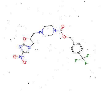 O=C(OCc1ccc(C(F)(F)F)cc1)N1CCN(C[C@H]2Cn3cc([N+](=O)[O-])nc3O2)CC1